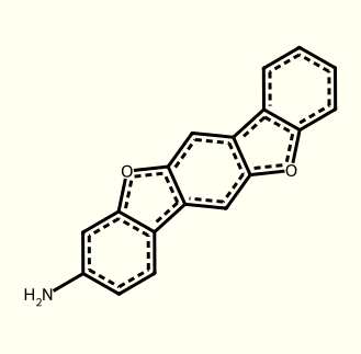 Nc1ccc2c(c1)oc1cc3c(cc12)oc1ccccc13